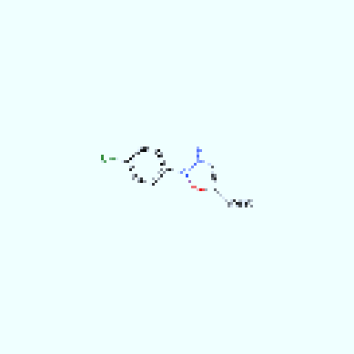 [CH2]CCCCC1=CNN(c2ccc(Cl)cc2)O1